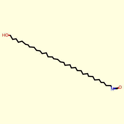 O=C=NCCCCCCCCCCCCCCCCCCCCCCCCCCCCCCCCCCCO